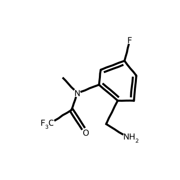 CN(C(=O)C(F)(F)F)c1cc(F)ccc1CN